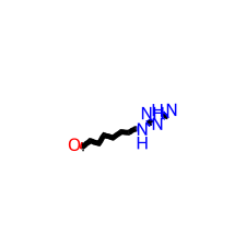 N#CNC(=N)NCCCCCCC[C]=O